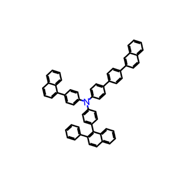 c1ccc(-c2ccc3ccccc3c2-c2ccc(N(c3ccc(-c4ccc(-c5ccc6ccccc6c5)cc4)cc3)c3ccc(-c4cccc5ccccc45)cc3)cc2)cc1